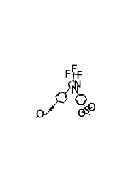 COCC#Cc1ccc(-c2cc(C(F)(F)F)nn2-c2ccc(S(C)(=O)=O)cc2)cc1